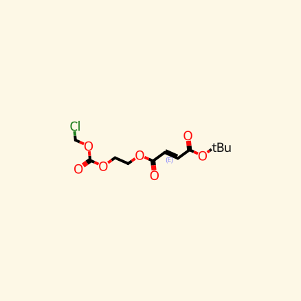 CC(C)(C)OC(=O)/C=C/C(=O)OCCOC(=O)OCCl